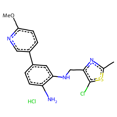 COc1ccc(-c2ccc(N)c(NCc3nc(C)sc3Cl)c2)cn1.Cl